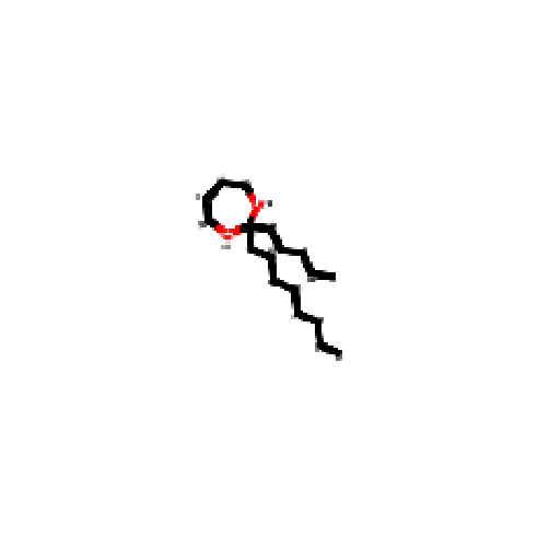 CCCCCCCCC1(CCCCC)OCCCCO1